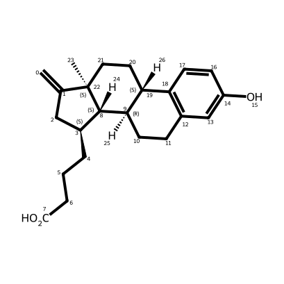 C=C1C[C@H](CCCC(=O)O)[C@H]2[C@@H]3CCc4cc(O)ccc4[C@H]3CC[C@]12C